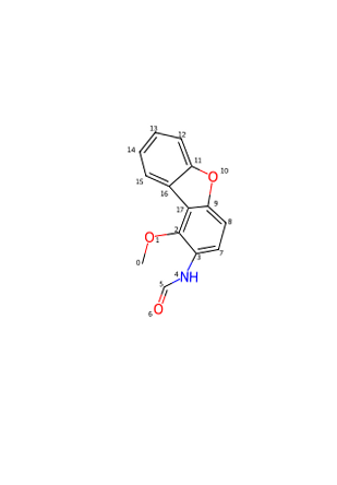 COc1c(NC=O)ccc2oc3ccccc3c12